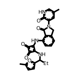 CCC(Nc1c(Nc2cccc3c2C(=O)N(c2cc(C)c[nH]c2=O)C3)c(=O)c1=O)c1ccc(C)o1